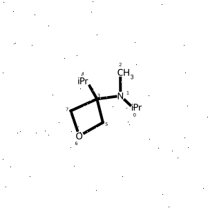 CC(C)N(C)C1(C(C)C)COC1